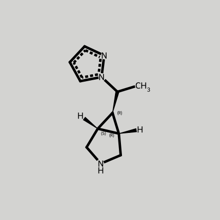 CC([C@H]1[C@@H]2CNC[C@@H]21)n1cccn1